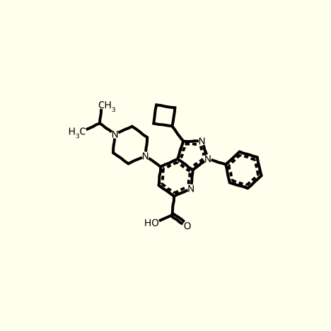 CC(C)N1CCN(c2cc(C(=O)O)nc3c2c(C2CCC2)nn3-c2ccccc2)CC1